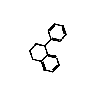 c1ccc(C2CCCc3cccnc32)cc1